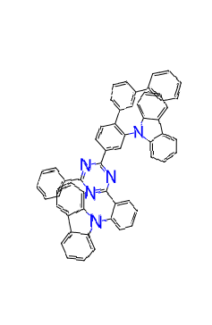 c1ccc(-c2cccc(-c3ccc(-c4nc(-c5ccccc5)nc(-c5ccccc5-n5c6ccccc6c6ccccc65)n4)cc3-n3c4ccccc4c4ccccc43)c2)cc1